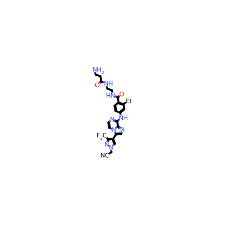 CCc1cc(Nc2nccn3c(-c4cn(CC#N)nc4C(F)(F)F)cnc23)ccc1C(=O)NCCNC(=O)CCN